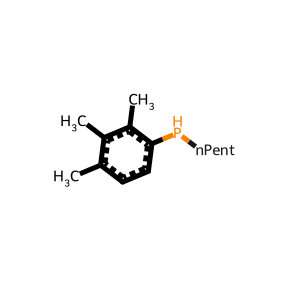 CCCCCPc1ccc(C)c(C)c1C